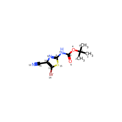 CC(C)(C)OC(=O)Nc1nc(C#N)c(Br)s1